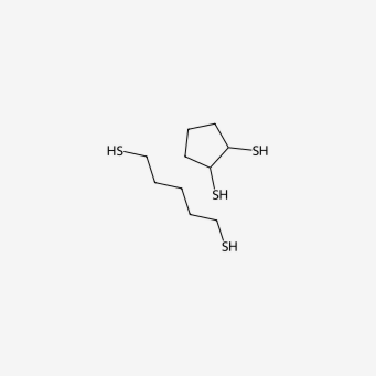 SC1CCCC1S.SCCCCCS